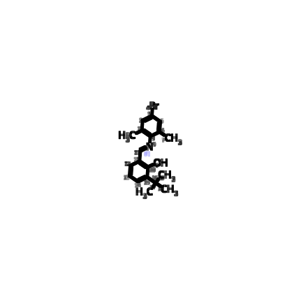 Cc1cc(Br)cc(C)c1/N=C/c1cccc(C(C)(C)C)c1O